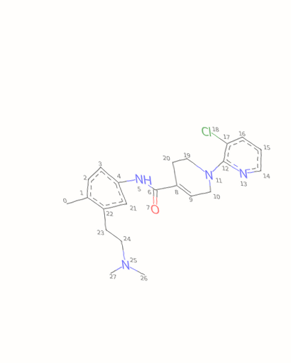 Cc1ccc(NC(=O)C2=CCN(c3ncccc3Cl)CC2)cc1CCN(C)C